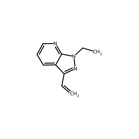 C=Cc1nn(CC)c2ncccc12